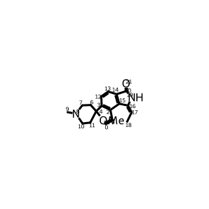 C=Cc1c(C2(OC)CCN(C)CC2)ccc2c1/C(=C\C)NC2=O